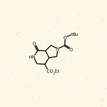 CCOC(=O)C1CNC(=O)C2CN(C(=O)OC(C)(C)C)CC21